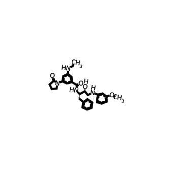 CCNc1cc(C(=O)N[C@@H](Cc2ccccc2)[C@H](O)CNc2cccc(OC)c2)cc(N2CCCC2=O)c1